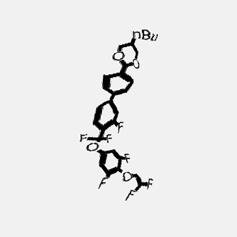 CCCCC1COC(c2ccc(-c3ccc(C(F)(F)Oc4cc(F)c(OC=C(F)F)c(F)c4)c(F)c3)cc2)OC1